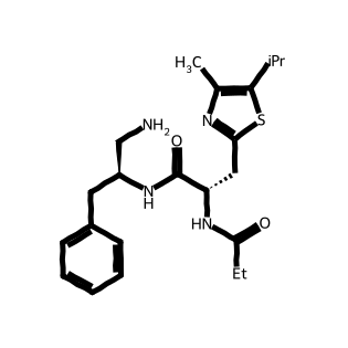 CCC(=O)N[C@@H](Cc1nc(C)c(C(C)C)s1)C(=O)N[C@H](CN)Cc1ccccc1